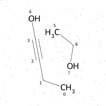 CCC#CO.CCO